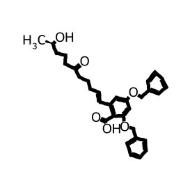 C[C@@H](O)CCCC(=O)CCC/C=C/c1cc(OCc2ccccc2)cc(OCc2ccccc2)c1C(=O)O